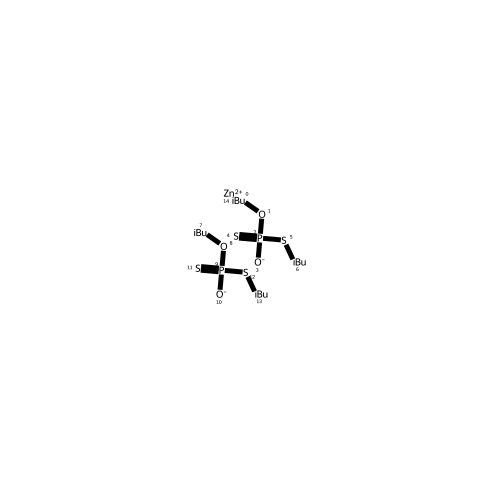 CCC(C)OP([O-])(=S)SC(C)CC.CCC(C)OP([O-])(=S)SC(C)CC.[Zn+2]